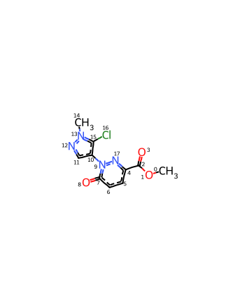 COC(=O)c1ccc(=O)n(-c2cnn(C)c2Cl)n1